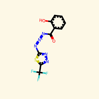 O=C(N=[N+]=Nc1nnc(C(F)(F)F)s1)c1ccccc1O